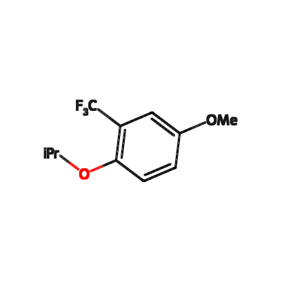 COc1ccc(OC(C)C)c(C(F)(F)F)c1